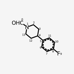 O=CN1CCC(c2ccc(F)cc2)CC1